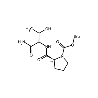 CC(O)C(NC(=O)[C@@H]1CCCN1C(=O)OC(C)(C)C)C(N)=O